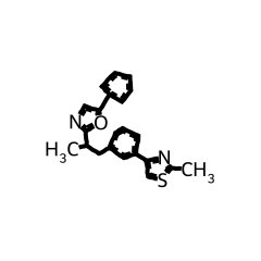 Cc1nc(-c2cccc(CC(C)c3ncc(-c4ccccc4)o3)c2)cs1